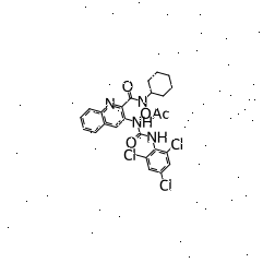 CC(=O)ON(C(=O)c1nc2ccccc2cc1NC(=O)Nc1c(Cl)cc(Cl)cc1Cl)C1CCCCC1